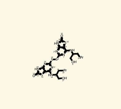 CC(C)CC(CO)Nc1nc(SSc2nc(NC(CO)CC(C)C)c3sc(=O)[nH]c3n2)nc2[nH]c(=O)sc12